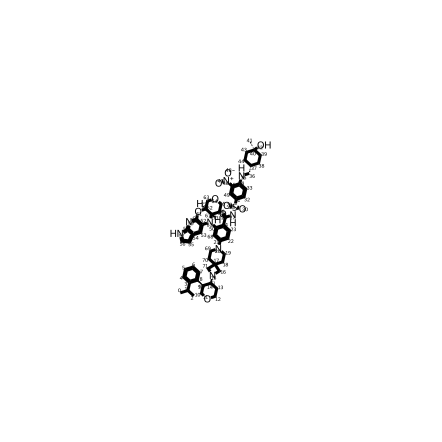 CC(C)c1ccccc1[C@@H]1COCC[C@@H]1N1CC2(CCN(c3ccc(C(=O)NS(=O)(=O)c4ccc(NC[C@H]5CC[C@](C)(O)CC5)c([N+](=O)[O-])c4)c(N4c5cc6cc[nH]c6nc5O[C@H]5COCC[C@@H]54)c3)CC2)C1